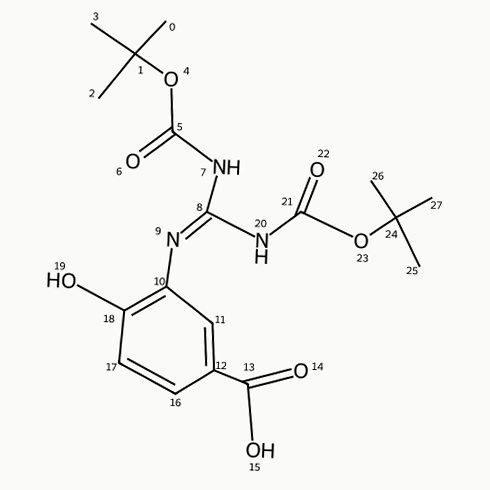 CC(C)(C)OC(=O)NC(=Nc1cc(C(=O)O)ccc1O)NC(=O)OC(C)(C)C